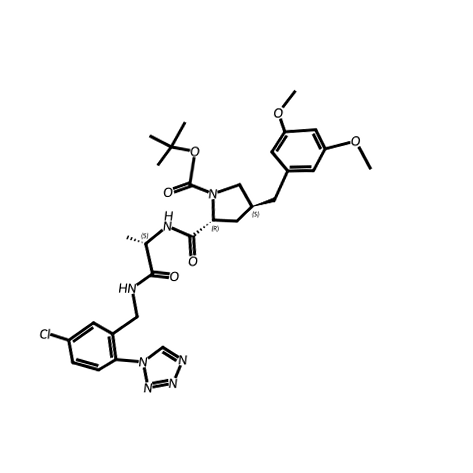 COc1cc(C[C@H]2C[C@H](C(=O)N[C@@H](C)C(=O)NCc3cc(Cl)ccc3-n3cnnn3)N(C(=O)OC(C)(C)C)C2)cc(OC)c1